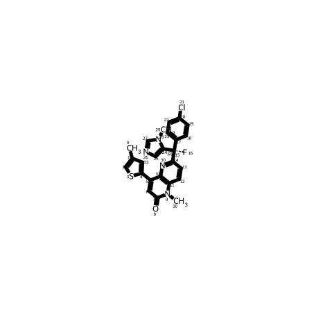 Cc1csc(-c2cc(=O)n(C)c3ccc([C@](F)(c4ccc(Cl)cc4)c4cncn4C)nc23)c1